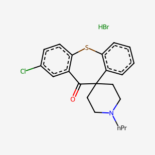 Br.CCCN1CCC2(CC1)C(=O)c1cc(Cl)ccc1Sc1ccccc12